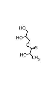 CC(O)C(=S)OCC(O)CO